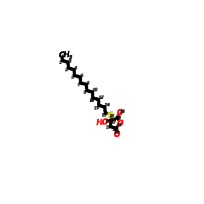 CCCCCCCCCCCCCCCCSC1(O)CC(=O)OC1=O